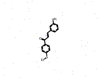 CCCc1cccc(/C=C/C(=O)c2ccc(SCC)cc2)c1